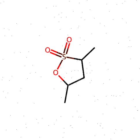 CC1CC(C)S(=O)(=O)O1